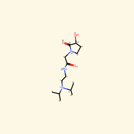 CC(C)N(CCNC(=O)CN1CCC(O)C1=O)C(C)C